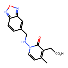 Cc1ccn(NCc2ccc3nonc3c2)c(=O)c1CC(=O)O